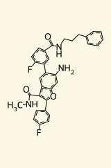 CNC(=O)c1c(-c2ccc(F)cc2)oc2cc(N)c(-c3cc(C(=O)NCCCc4ccccc4)ccc3F)cc12